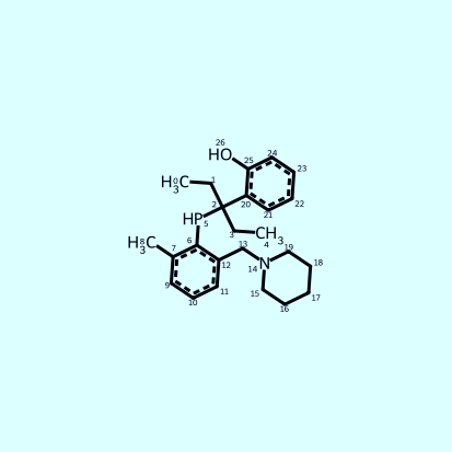 CCC(CC)(Pc1c(C)cccc1CN1CCCCC1)c1ccccc1O